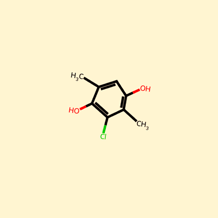 Cc1cc(O)c(C)c(Cl)c1O